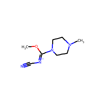 CO/C(=N\C#N)N1CCN(C)CC1